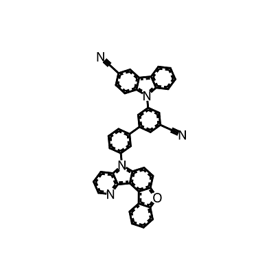 N#Cc1cc(-c2cccc(-n3c4cccnc4c4c5c(ccc43)oc3ccccc35)c2)cc(-n2c3ccccc3c3cc(C#N)ccc32)c1